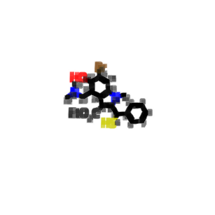 CCOC(=O)c1c(C(S)c2ccccc2)n(C)c2cc(Br)c(O)c(CN(C)C)c12